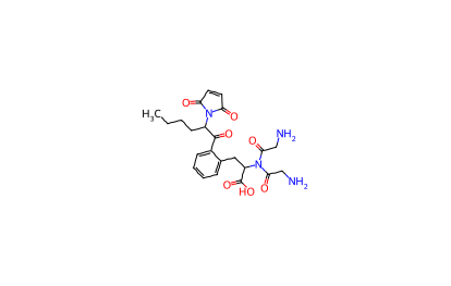 CCCCC(C(=O)c1ccccc1CC(C(=O)O)N(C(=O)CN)C(=O)CN)N1C(=O)C=CC1=O